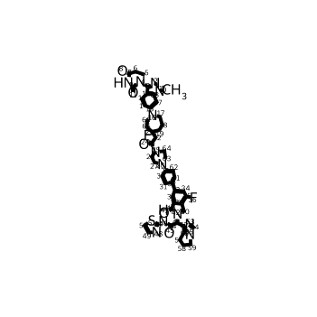 Cn1nc(N2CCC(=O)NC2=O)c2ccc(N3CCCC(F)(CC(=O)N4CCN(c5ccc(-c6cc(F)c7c(c6)C(=O)N(C(C(=O)Nc6nccs6)c6ncn8c6CCC8)C7)cc5)CC4)CC3)cc21